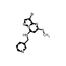 CSc1cc(NCc2cccnc2)n2ncc(Br)c2n1